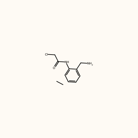 CC.NCc1ccccc1NC(=O)CCl